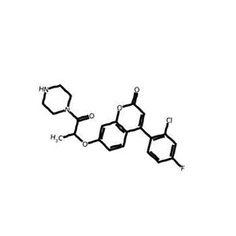 CC(Oc1ccc2c(-c3ccc(F)cc3Cl)cc(=O)oc2c1)C(=O)N1CCNCC1